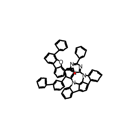 c1ccc(-c2cccc(-c3ccccc3-n3c4ccccc4c4ccc5c6ccccc6n(-c6nc(-c7ccccc7)nc(-c7cccc8c7oc7c(-c9ccccc9)cccc78)n6)c5c43)c2)cc1